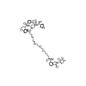 CN1CCC(Nc2cccc(C(=O)NC3CCOc4ccc(OCCCCCCOCCOCCOCCCCCC(=O)Nc5cccc6c5CN(C5CCC(=O)NC5=O)C6=O)cc43)c2)(C(=N)NC(=N)c2ccncc2)CC1